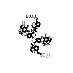 CCOC(=O)CCc1cccc2c1OCCC2(C)c1cn(C)c(-c2cc(Oc3c(F)c(F)c4[nH]ccc4c3S(C)(=O)=O)ccc2F)n1.Cn1cc([C@]2(C)CCOc3c(CCC(=O)O)cccc32)nc1-c1cc(Oc2c(F)c(F)c3[nH]ccc3c2S(C)(=O)=O)ccc1F